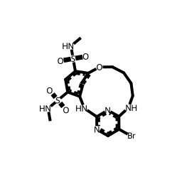 CNS(=O)(=O)c1cc(S(=O)(=O)NC)c2cc1Nc1ncc(Br)c(n1)NCCCCO2